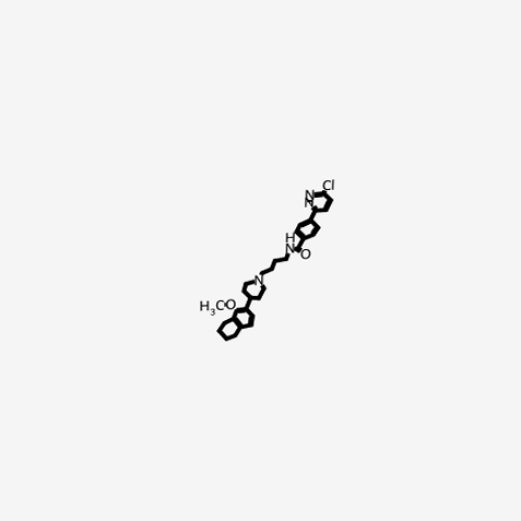 COc1c(C2CCN(CCCCNC(=O)c3ccc(-c4ccc(Cl)nn4)cc3)CC2)ccc2c1CCCC2